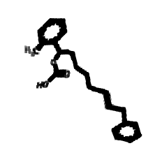 Cc1ccccc1C(CCCCCCCc1ccccc1)OC(=O)O